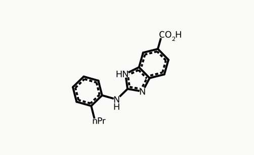 CCCc1ccccc1Nc1nc2ccc(C(=O)O)cc2[nH]1